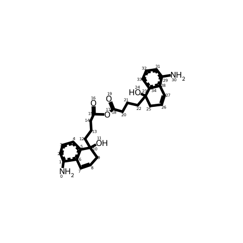 Nc1cccc2c1C=CCC2(O)CCCC(=O)OC(=O)CCCC1(O)CC=Cc2c(N)cccc21